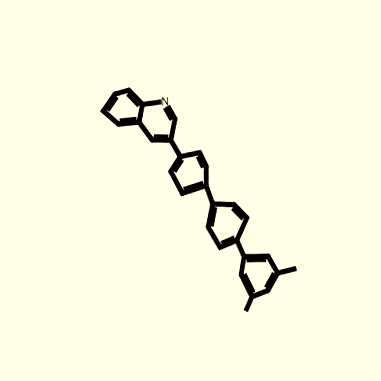 Cc1cc(C)cc(-c2ccc(-c3ccc(-c4cnc5ccccc5c4)cc3)cc2)c1